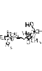 CCC(CC)C(C)(C)OCCCCCC(=O)C(C)(CC)OC(C)(C)CCO